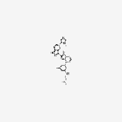 Cc1ncc(-c2ccc3[nH]nc(-c4nc5c(-c6cc(F)cc(NCCN(C)C)c6)ccnc5[nH]4)c3c2)n1C